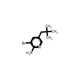 CC(C)(C)Cc1cnc(N)c(Br)c1